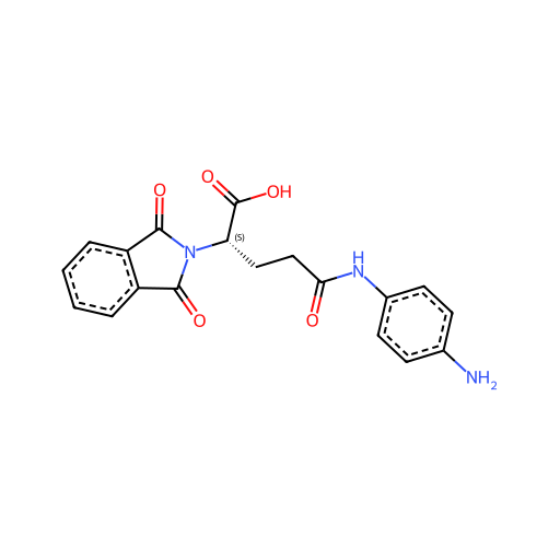 Nc1ccc(NC(=O)CC[C@@H](C(=O)O)N2C(=O)c3ccccc3C2=O)cc1